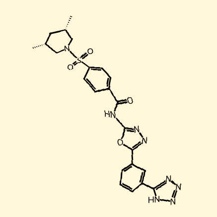 C[C@@H]1C[C@H](C)CN(S(=O)(=O)c2ccc(C(=O)Nc3nnc(-c4cccc(-c5nnn[nH]5)c4)o3)cc2)C1